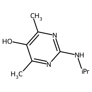 Cc1nc(NC(C)C)nc(C)c1O